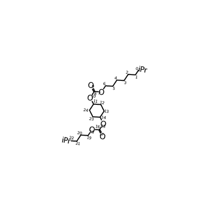 CC(C)CCCCCCOC(=O)OC1CCC(OC(=O)OCCCC(C)C)CC1